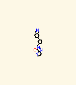 O=c1c2ncccc2ncn1Cc1cccc(-c2ccc3c(c2)C=NC3)c1